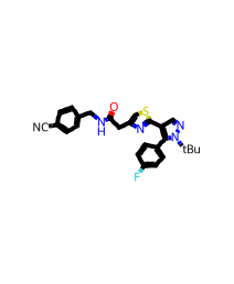 CC(C)(C)n1ncc(-c2nc(CC(=O)NCc3ccc(C#N)cc3)cs2)c1-c1ccc(F)cc1